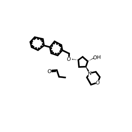 CCC=O.O[C@H]1C[C@@H](OCc2ccc(-c3ccccc3)cc2)C[C@@H]1N1CCOCC1